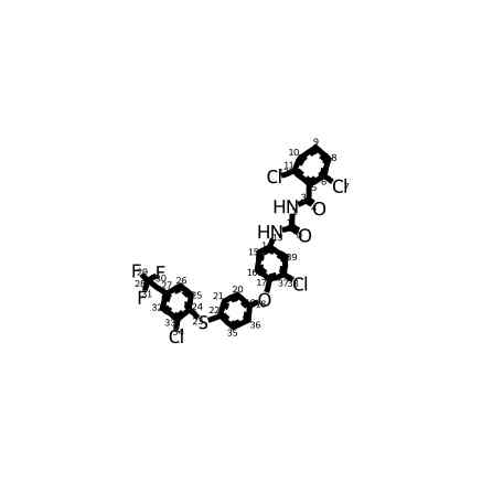 O=C(NC(=O)c1c(Cl)cccc1Cl)Nc1ccc(Oc2ccc(Sc3ccc(C(F)(F)F)cc3Cl)cc2)c(Cl)c1